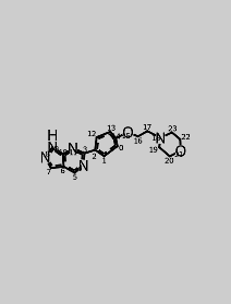 c1cc(-c2ncc3cn[nH]c3n2)ccc1OCCN1CCOCC1